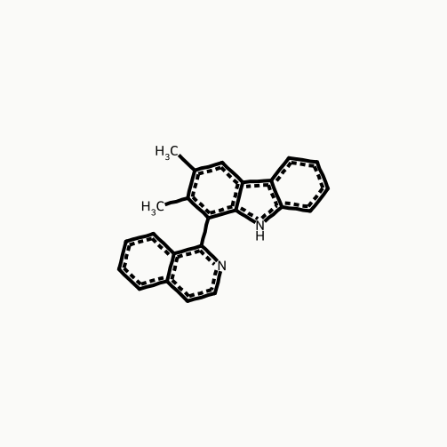 Cc1cc2c([nH]c3ccccc32)c(-c2nccc3ccccc23)c1C